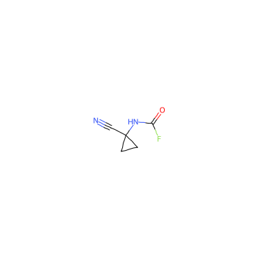 N#CC1(NC(=O)F)CC1